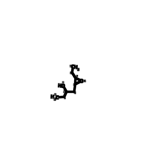 CCC(O)CC1OC1CC